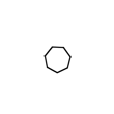 [C]1CC[CH]CCC1